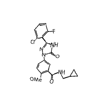 COc1ccc(-n2nc(-c3c(F)cccc3Cl)[nH]c2=O)cc1C(=O)NCC1CC1